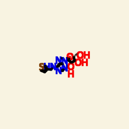 OC[C@H]1O[C@@H](n2cnc3c(NCc4ccsc4)ncnc32)[C@@H](O)[C@H]1O